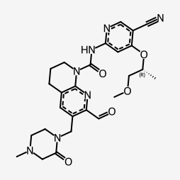 COC[C@@H](C)Oc1cc(NC(=O)N2CCCc3cc(CN4CCN(C)CC4=O)c(C=O)nc32)ncc1C#N